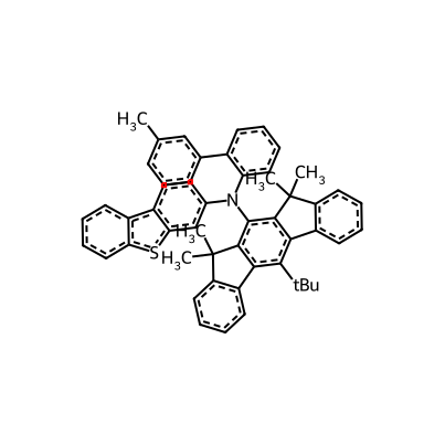 Cc1cccc(-c2ccccc2N(c2ccc3c(c2)sc2ccccc23)c2c3c(c(C(C)(C)C)c4c2C(C)(C)c2ccccc2-4)-c2ccccc2C3(C)C)c1